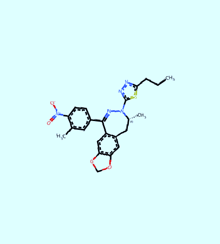 CCCc1nnc(N2N=C(c3ccc([N+](=O)[O-])c(C)c3)c3cc4c(cc3C[C@H]2C)OCO4)s1